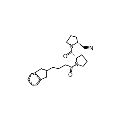 N#C[C@@H]1CCCN1C(=O)[C@@H]1CCCN1C(=O)CCCC1Cc2ccccc2C1